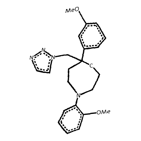 COc1cccc(C2(Cn3ccnn3)CCCN(c3ccccc3OC)CC2)c1